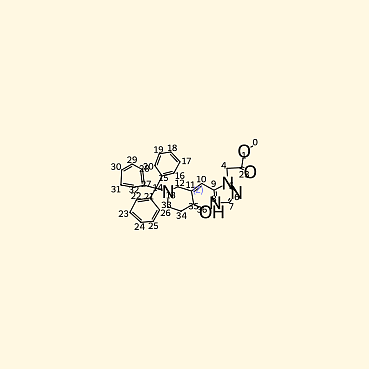 COC(=O)Cn1ncnc1/C=C1/CN(C(c2ccccc2)(c2ccccc2)c2ccccc2)CCC1O